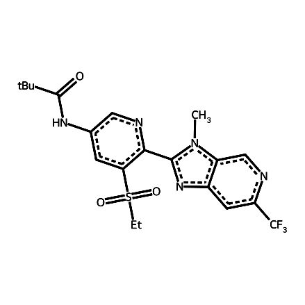 CCS(=O)(=O)c1cc(NC(=O)C(C)(C)C)cnc1-c1nc2cc(C(F)(F)F)ncc2n1C